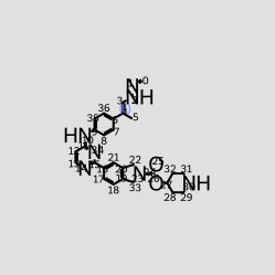 C=NN/C=C(\C)c1ccc(Nc2ccnc(-c3ccc4c(c3)CN(C(=O)OC3CCNCC3)C4)n2)cc1